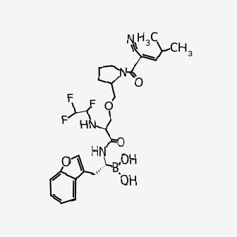 CC(C)C=C(C#N)C(=O)N1CCCC1COCC(NC(F)C(F)F)C(=O)N[C@@H](Cc1coc2ccccc12)B(O)O